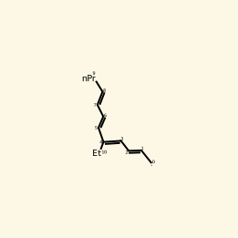 [CH2]C=CC=C(C=CC=CCCC)CC